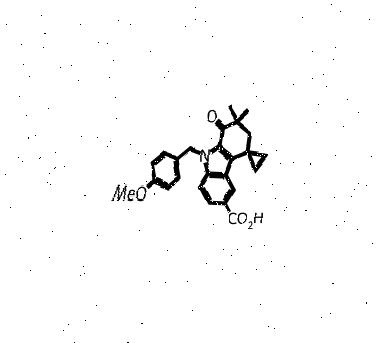 COc1ccc(Cn2c3c(c4cc(C(=O)O)ccc42)C2(CC2)CC(C)(C)C3=O)cc1